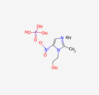 Cc1ncc([N+](=O)[O-])n1CCO.O=P(O)(O)O.[KH]